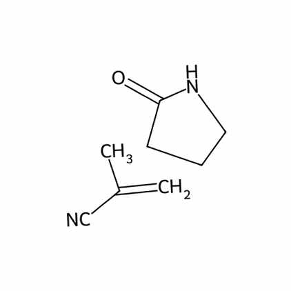 C=C(C)C#N.O=C1CCCN1